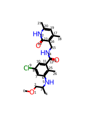 COCC(C)Nc1cc(Cl)cc(C(=O)NCc2c(C)cc(C)[nH]c2=O)c1C